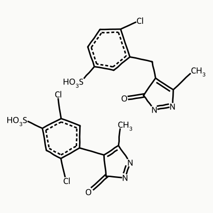 CC1=C(Cc2cc(S(=O)(=O)O)ccc2Cl)C(=O)N=N1.CC1=C(c2cc(Cl)c(S(=O)(=O)O)cc2Cl)C(=O)N=N1